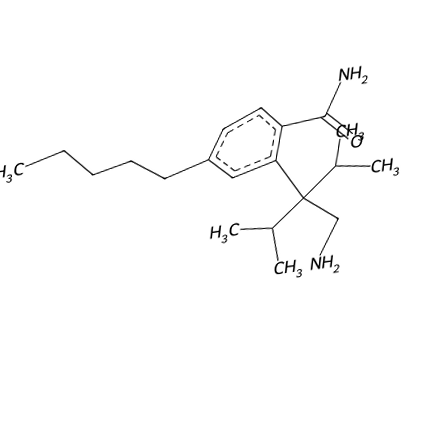 CCCCCc1ccc(C(N)=O)c(C(CN)(C(C)C)C(C)C)c1